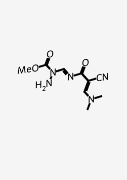 COC(=O)N(N)C=NC(=O)C(C#N)=CN(C)C